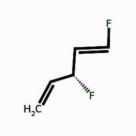 C=C[C@@H](F)/C=C/F